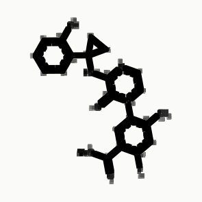 COC(=O)c1cc(-n2ccnc(NC3(c4ccccc4O)CC3)c2=O)c(C)cc1F